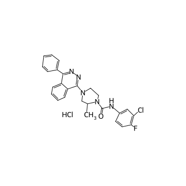 CC1CN(c2nnc(-c3ccccc3)c3ccccc23)CCN1C(=O)Nc1ccc(F)c(Cl)c1.Cl